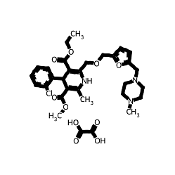 CCOC(=O)C1=C(COCc2ccc(CN3CCN(C)CC3)o2)NC(C)=C(C(=O)OC)C1c1ccccc1Cl.O=C(O)C(=O)O